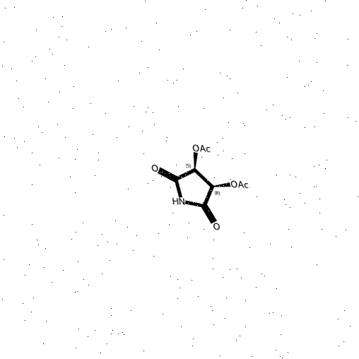 CC(=O)O[C@@H]1C(=O)NC(=O)[C@@H]1OC(C)=O